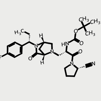 CC[C@@H](c1ccc(F)cc1)N1C(=O)[C@@H]2C[C@H]1CN2C[C@H](NC(=O)OC(C)(C)C)C(=O)N1CCC[C@H]1C#N